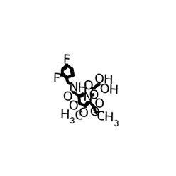 COC(=O)c1c(OC)c(=O)c(C(=O)NCc2ccc(F)cc2F)cn1OC(=O)C(O)O